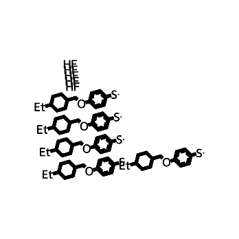 CCC1CCC(COc2ccc([S])cc2)CC1.CCC1CCC(COc2ccc([S])cc2)CC1.CCC1CCC(COc2ccc([S])cc2)CC1.CCC1CCC(COc2ccc([S])cc2)CC1.CCC1CCC(COc2ccc([S])cc2)CC1.F.F.F.F.F